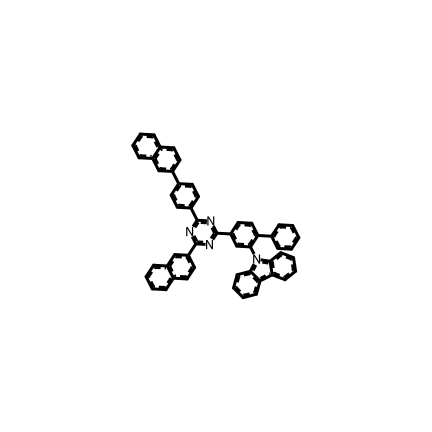 c1ccc(-c2ccc(-c3nc(-c4ccc(-c5ccc6ccccc6c5)cc4)nc(-c4ccc5ccccc5c4)n3)cc2-n2c3ccccc3c3ccccc32)cc1